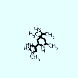 C=C(S)C1(C)CC(C)NC(C2=CN(C)NN2)C1